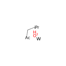 CC(=O)CC(C)C.O.[W]